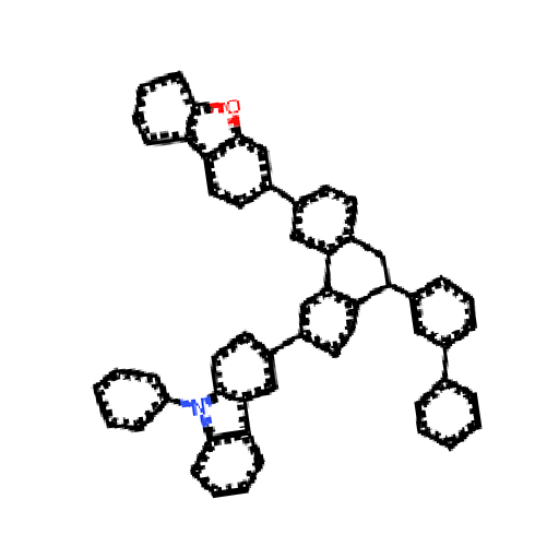 c1ccc(-c2cccc(C3Cc4ccc(-c5ccc6c(c5)oc5ccccc56)cc4-c4cc(-c5ccc6c(c5)c5ccccc5n6-c5ccccc5)ccc43)c2)cc1